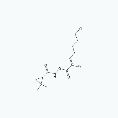 CCC(=CCCCCCl)C(=O)ONC(=O)[C@H]1CC1(C)C